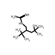 CC(C)(C)CC(CNC(=N)N)C(C)(C)C